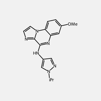 COc1ccc2c(c1)nc(Nc1cnn(C(C)C)c1)c1nccn12